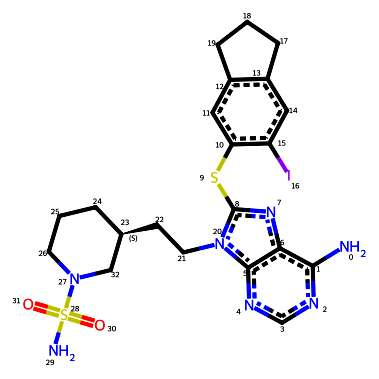 Nc1ncnc2c1nc(Sc1cc3c(cc1I)CCC3)n2CC[C@@H]1CCCN(S(N)(=O)=O)C1